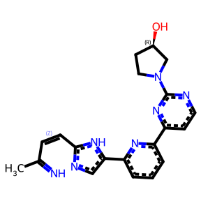 CC(=N)/C=C\c1ncc(-c2cccc(-c3ccnc(N4CC[C@@H](O)C4)n3)n2)[nH]1